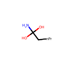 CCCCC(N)(O)O